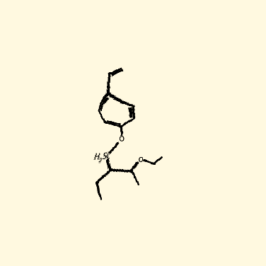 C=Cc1ccc(O[SiH2]C(CC)C(C)OCC)cc1